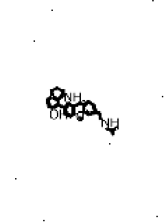 COc1ccc(-c2c(O)ccc3c2CCCC3)c(N)c1Cc1ccc(CCNCC(C)C)cc1